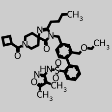 CCCCC1=NC2(CCN(C(=O)C3CCC3)CC2)C(=O)N1Cc1ccc(-c2ccccc2S(=O)(=O)Nc2noc(C)c2C)c(COCC)c1